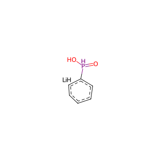 O=[PH](O)c1ccccc1.[LiH]